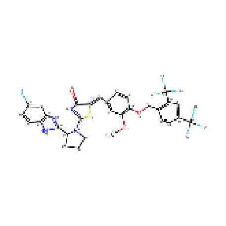 COc1cc(/C=C2\SC(N3CCCC3c3nc4cc(F)ccc4[nH]3)=NC2=O)ccc1OCc1ccc(C(F)(F)F)cc1C(F)(F)F